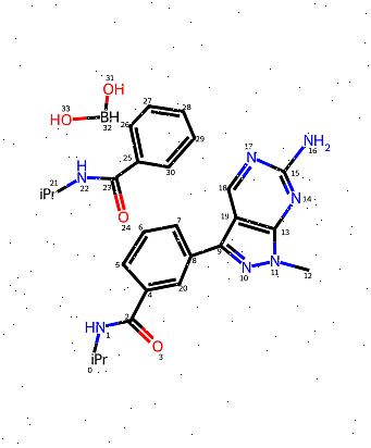 CC(C)NC(=O)c1cccc(-c2nn(C)c3nc(N)ncc23)c1.CC(C)NC(=O)c1ccccc1.OBO